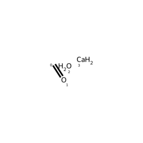 C=O.O.[CaH2]